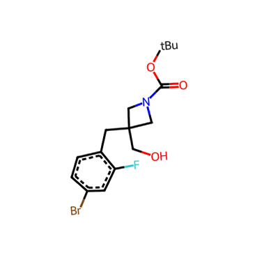 CC(C)(C)OC(=O)N1CC(CO)(Cc2ccc(Br)cc2F)C1